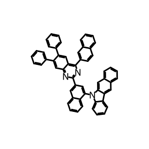 c1ccc(-c2cc3nc(-c4cc(-n5c6ccccc6c6cc7ccccc7cc65)c5ccccc5c4)nc(-c4ccc5ccccc5c4)c3cc2-c2ccccc2)cc1